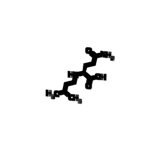 CC(C)CCN[C@@H](CCC(N)=O)C(=O)O